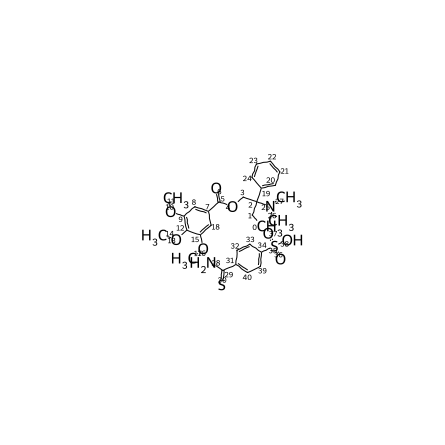 CCC(COC(=O)c1cc(OC)c(OC)c(OC)c1)(c1ccccc1)N(C)C.NC(=S)c1ccc(S(=O)(=O)O)cc1